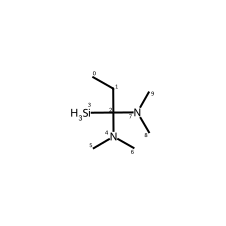 CCC([SiH3])(N(C)C)N(C)C